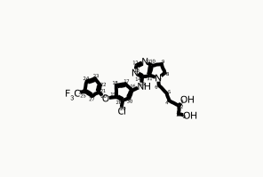 OCC(O)CCCN1CCc2ncnc(Nc3ccc(Oc4cccc(C(F)(F)F)c4)c(Cl)c3)c21